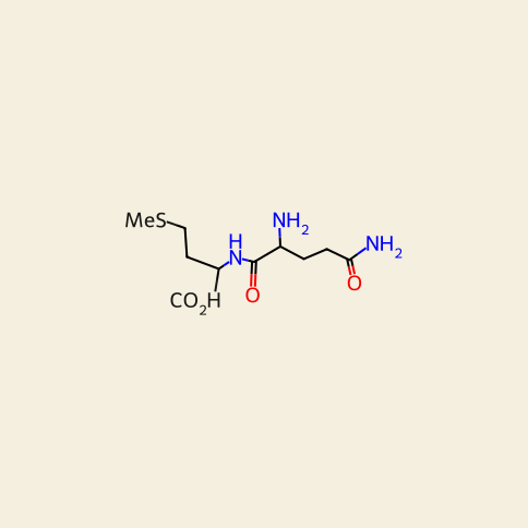 CSCCC(NC(=O)C(N)CCC(N)=O)C(=O)O